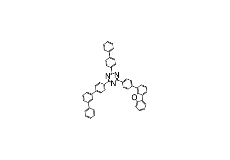 c1ccc(-c2ccc(-c3nc(-c4ccc(-c5cccc(-c6ccccc6)c5)cc4)nc(-c4ccc(-c5cccc6c5oc5ccccc56)cc4)n3)cc2)cc1